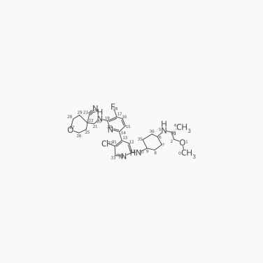 COC[C@@H](C)NC1CCC(Nc2cc(-c3ccc(F)c(NCC4(C#N)CCOCC4)n3)c(Cl)cn2)CC1